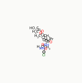 CC(C)C1=C2C3CCC4C(C)(CCC5C(C)C(OC(=O)C6CC(C(=O)O)C6C)CCC54C)C3CCC2(CCNC(=O)C(C)(C)NC(=O)c2ccc(Cl)cc2)CC1=O